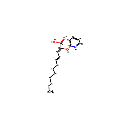 CCCCCCC/C=C/C=C(\Oc1ccccn1)C(=O)O